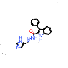 O=C(NN=Cc1cnc[nH]1)c1[nH]c2ccccc2c1-c1ccccc1